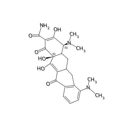 CN(C)c1cccc2c1CC1CC3[C@H](N(C)C)C(O)=C(C(N)=O)C(=O)[C@@]3(O)C(O)=C1C2=O